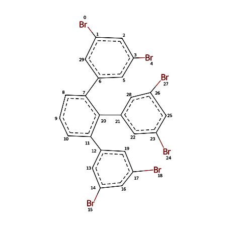 Brc1cc(Br)cc(-c2cccc(-c3cc(Br)cc(Br)c3)c2-c2cc(Br)cc(Br)c2)c1